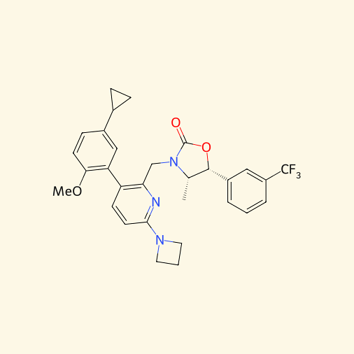 COc1ccc(C2CC2)cc1-c1ccc(N2CCC2)nc1CN1C(=O)O[C@H](c2cccc(C(F)(F)F)c2)[C@@H]1C